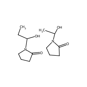 CC(O)N1CCCC1=O.CCC(O)N1CCCC1=O